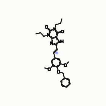 CCCn1c(=O)c2[nH]c(/C=C/c3cc(OC)c(OCc4ccccc4)c(OC)c3)nc2n(CCC)c1=O